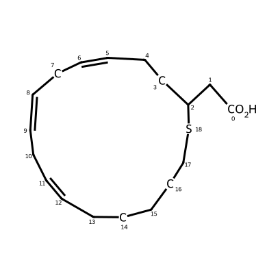 O=C(O)CC1CCC=CCC=CCC=CCCCCCS1